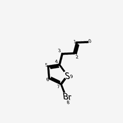 CC=CCc1ccc(Br)s1